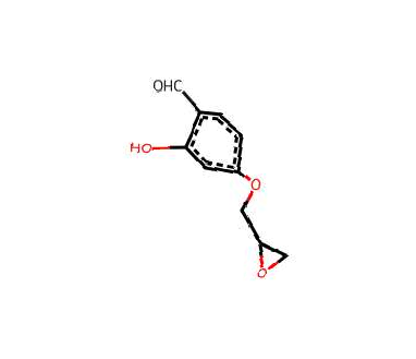 O=Cc1ccc(OCC2CO2)cc1O